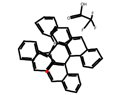 O=C(O)C(F)(F)F.c1ccc(P(c2ccccc2)c2ccc3ccccc3c2-c2c(P(c3ccccc3)c3ccccc3)ccc3ccccc23)cc1